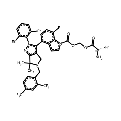 CCc1cccc(CC)c1-n1nc2c(c1-c1ccc(F)c3c1ccn3C(=O)OCOC(=O)[C@@H](N)C(C)C)CN(Cc1ccc(C(F)(F)F)cc1C(F)(F)F)C2(C)C